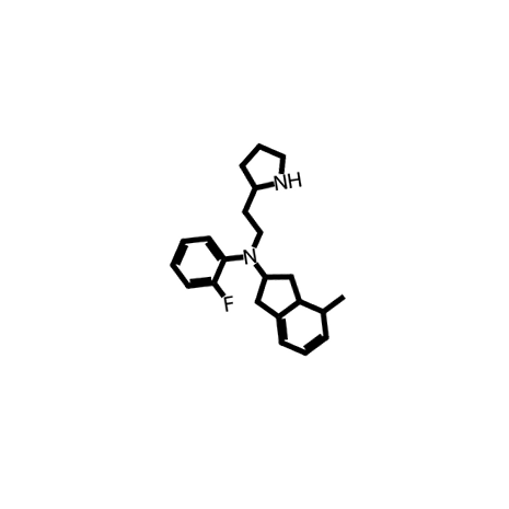 CC1C=CC=C2CC(N(CCC3CCCN3)c3ccccc3F)CC21